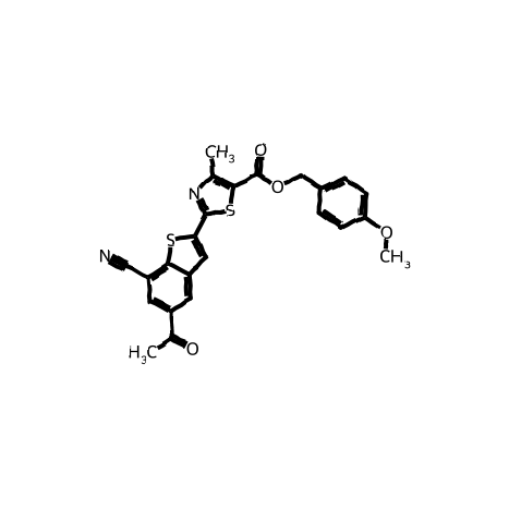 COc1ccc(COC(=O)c2sc(-c3cc4cc(C(C)=O)cc(C#N)c4s3)nc2C)cc1